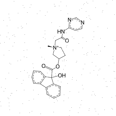 C[N@@+]1(CC(=O)Nc2ccncn2)CCC(OC(=O)C2(O)c3ccccc3-c3ccccc32)C1